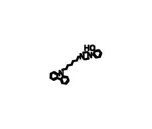 Oc1ccccc1N1CCN(CCCCCCCn2c3ccccc3c3ccccc32)CC1